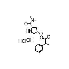 CC(C(=O)OO[C@@H]1CN[C@H](C(=O)N(C)C)C1)c1ccccc1.Cl.Cl